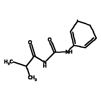 CC(C)C(=O)NC(=O)NC1=C[CH]CC=C1